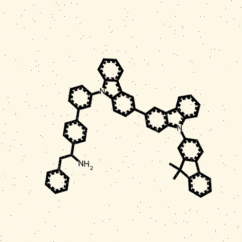 CC1(C)c2ccccc2-c2ccc(-n3c4ccccc4c4cc(-c5ccc6c(c5)c5ccccc5n6-c5cccc(-c6ccc(C(N)Cc7ccccc7)cc6)c5)ccc43)cc21